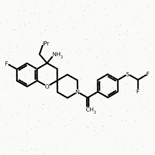 C=C(c1ccc(SC(F)F)cc1)N1CCC2(CC1)CC(N)(CC(C)C)c1cc(F)ccc1O2